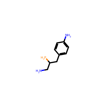 NCC(P)Cc1ccc(N)cc1